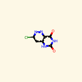 O=c1[nH]c(=O)c2nnc(Cl)cc2[nH]1